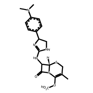 CC1=C(OC(=O)O)N2C(=O)C(NC3=NC(c4ccc(N(C)C)cc4)CN3)[C@@H]2SC1